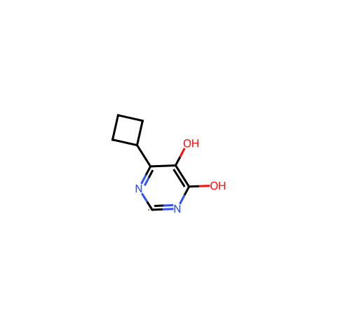 Oc1n[c]nc(C2CCC2)c1O